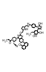 C=CC(=O)N1CCN(c2nc(OCC3CCC(CNCc4ccc(-n5c(O)nnc5-c5cc(CC)c(O)cc5O)cc4)N3)nc3c2CCN(c2cccc4cccc(Cl)c24)C3)C[C@@H]1CC#N